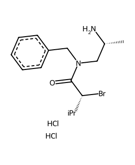 CC(C)[C@@H](Br)C(=O)N(Cc1ccccc1)C[C@@H](C)N.Cl.Cl